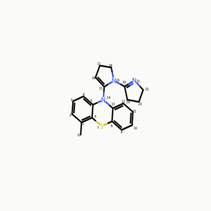 Cc1cccc2c1Sc1ccccc1N2C1=CCCN1C1=NCCC1